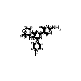 Cc1nc(N)ncc1-c1nc(N2CCNCC2)c2nc3n(c2n1)CCOC3(C)C